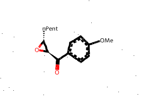 CCCCC[C@H]1O[C@@H]1C(=O)c1ccc(OC)cc1